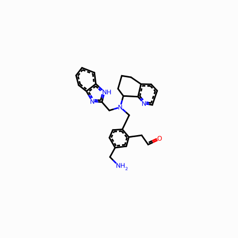 NCc1ccc(CN(Cc2nc3ccccc3[nH]2)C2CCCc3cccnc32)c(CC=O)c1